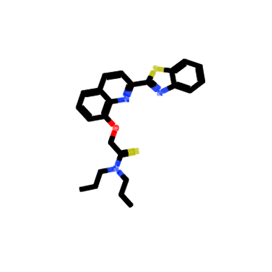 CCCN(CCC)C(=S)COc1cccc2ccc(-c3nc4ccccc4s3)nc12